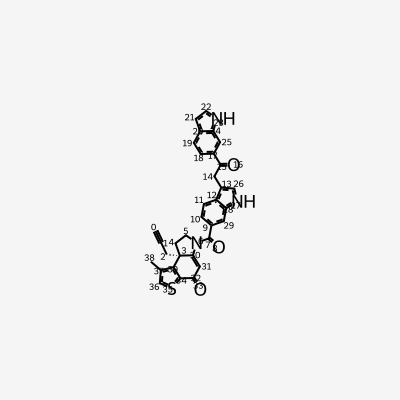 C#CC[C@]12CCN(C(=O)c3ccc4c(CC(=O)c5ccc6cc[nH]c6c5)c[nH]c4c3)C1=CC(=O)c1scc(C)c12